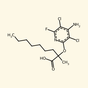 CCCCCCCC(C)(Oc1nc(F)c(Cl)c(N)c1Cl)C(=O)O